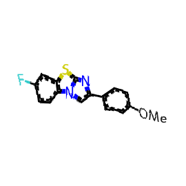 COc1ccc(-c2cn3c(n2)sc2cc(F)ccc23)cc1